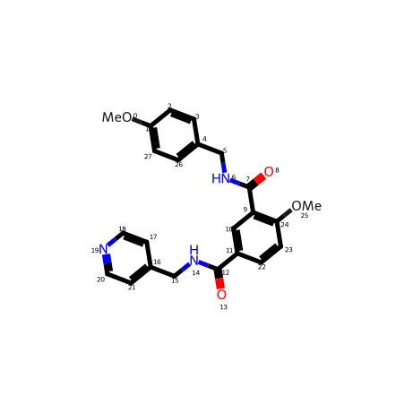 COc1ccc(CNC(=O)c2cc(C(=O)NCc3ccncc3)ccc2OC)cc1